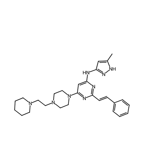 Cc1cc(Nc2cc(N3CCN(CCN4CCCCC4)CC3)nc(/C=C/c3ccccc3)n2)n[nH]1